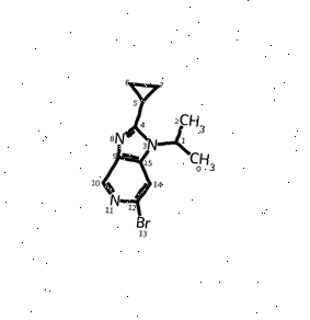 CC(C)n1c(C2CC2)nc2cnc(Br)cc21